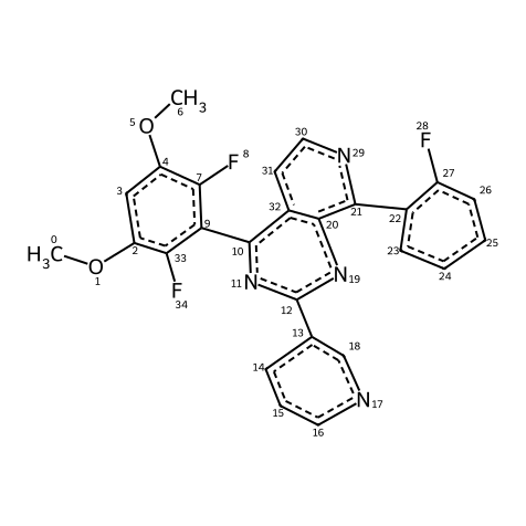 COc1cc(OC)c(F)c(-c2nc(-c3cccnc3)nc3c(-c4ccccc4F)nccc23)c1F